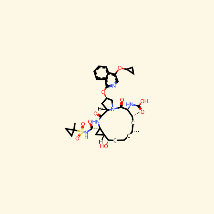 C[C@@H]1CCC[C@H](O)[C@@H]2C[C@@]2(C(=O)NS(=O)(=O)C2(C)CC2)NC(=O)[C@@H]2C[C@@H](Oc3ncc(OC4CC4)c4ccccc34)CN2C(=O)[C@@H](NC(=O)O)[C@H](C)C1